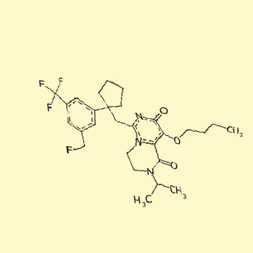 CCCCOc1c2n(c(CC3(c4cc(CF)cc(C(F)(F)F)c4)CCCC3)nc1=O)CCN(C(C)C)C2=O